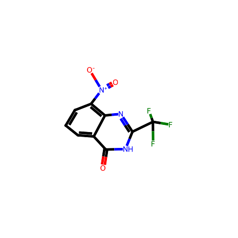 O=c1[nH]c(C(F)(F)F)nc2c([N+](=O)[O-])cccc12